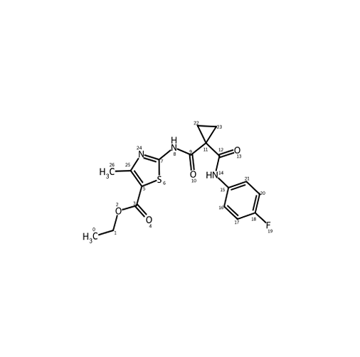 CCOC(=O)c1sc(NC(=O)C2(C(=O)Nc3ccc(F)cc3)CC2)nc1C